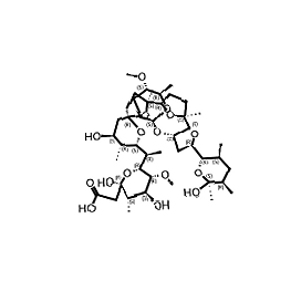 CO[C@@H]1[C@@H](O)[C@H](C)[C@@](O)(CC(=O)O)O[C@@H]1[C@H](C)[C@H]1O[C@@]2(CC[C@@](C)([C@H]3CC[C@@](C)([C@@H]4O[C@@H]([C@H]5O[C@](C)(O)[C@H](C)C[C@@H]5C)C[C@@H]4O[C@H]4CC[C@H](OC)[C@@H](C)O4)O3)O2)C[C@H](O)[C@H]1C